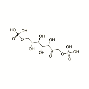 O=C(COP(=O)(O)O)[C@@H](O)[C@H](O)[C@H](O)[C@H](O)COP(=O)(O)O